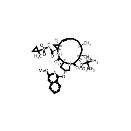 COc1cc2ccccc2c(O[C@@H]2C[C@H]3C(=O)N[C@]4(C(=O)NS(=O)(=O)C5(C)CC5)C[C@H]4C=CCC[C@H](C)C[C@@H](C)[C@H](N(C(=O)O)C(C)(C)C(F)(F)F)C(=O)N3C2)n1